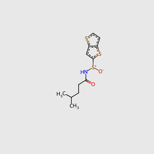 CC(C)CCC(=O)N[S+]([O-])c1cc2sccc2s1